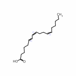 CCCCC/C=C\CC/C=C\C=C\CCCCC(=O)O